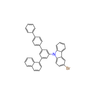 Brc1ccc2c(c1)c1ccccc1n2-c1cc(-c2ccc(-c3ccccc3)cc2)cc(-c2cccc3ccccc23)c1